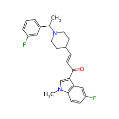 CC(c1cccc(F)c1)N1CCC(C=CC(=O)c2cn(C)c3ccc(F)cc23)CC1